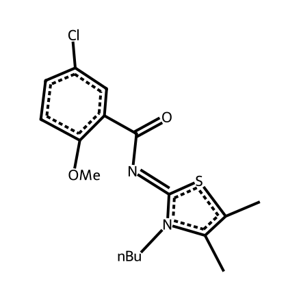 CCCCn1c(C)c(C)sc1=NC(=O)c1cc(Cl)ccc1OC